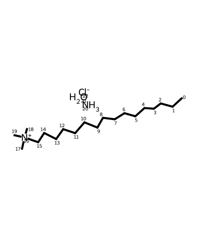 CCCCCCCCCCCCCCCC[N+](C)(C)C.N.O.[Cl-]